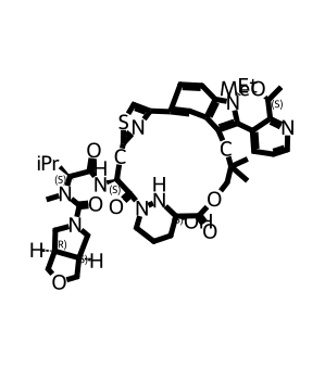 CCn1c(-c2cccnc2[C@H](C)OC)c2c3cc(ccc31)-c1csc(n1)C[C@H](NC(=O)[C@H](C(C)C)N(C)C(=O)N1C[C@H]3COC[C@H]3C1)C(=O)N1CCC[C@@](O)(N1)C(=O)OCC(C)(C)C2